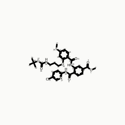 COC(=O)c1ccc(C(=O)Nc2ccc(Cl)cn2)c(NC(=O)c2ccc(SC)cc2OCCCNC(=O)OC(C)(C)C)c1